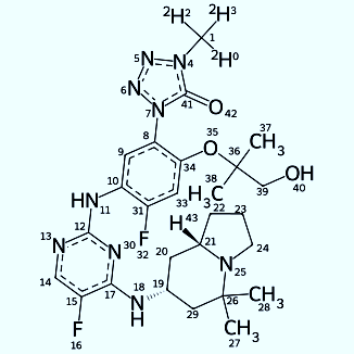 [2H]C([2H])([2H])n1nnn(-c2cc(Nc3ncc(F)c(N[C@@H]4C[C@@H]5CCCN5C(C)(C)C4)n3)c(F)cc2OC(C)(C)CO)c1=O